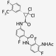 CC(=O)Nc1c(F)ccc(NC(=O)c2cc(NC(=O)[C@H]3[C@H](c4ccc(F)c(C(F)(F)F)c4)C3(Cl)Cl)ccc2F)c1F